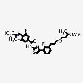 COC(C)CCOCCCc1cccc(-c2csc(NC(=O)c3cc(F)c(/C=C(\C)C(=O)O)c(F)c3)n2)c1F